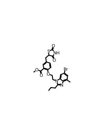 CCCc1nc2c(C)cc(Br)cc2n1CCOc1ccc(CC2SC(=O)NC2=O)cc1C(=O)OC